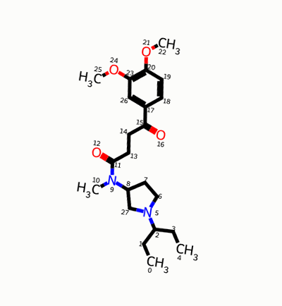 CCC(CC)N1CCC(N(C)C(=O)CCC(=O)c2ccc(OC)c(OC)c2)C1